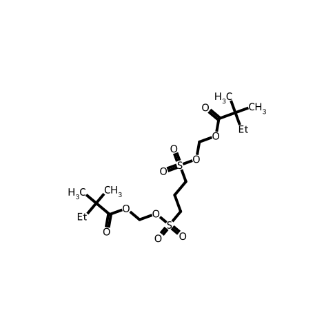 CCC(C)(C)C(=O)OCOS(=O)(=O)CCCS(=O)(=O)OCOC(=O)C(C)(C)CC